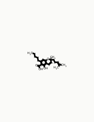 CCCCCc1cc2c(c(O)c1C(=O)O)C=C[C@@](C)(CCC=C(C)C)O2